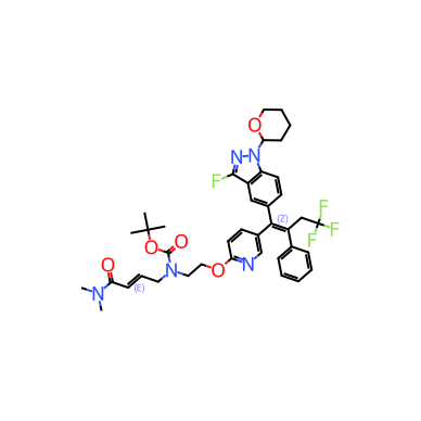 CN(C)C(=O)/C=C/CN(CCOc1ccc(/C(=C(/CC(F)(F)F)c2ccccc2)c2ccc3c(c2)c(F)nn3C2CCCCO2)cn1)C(=O)OC(C)(C)C